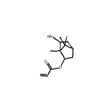 C=CC(=O)OC1CC2CC(CCC)C1(C)C2(C)C